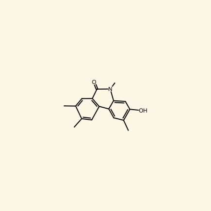 Cc1cc2c(=O)n(C)c3cc(O)c(C)cc3c2cc1C